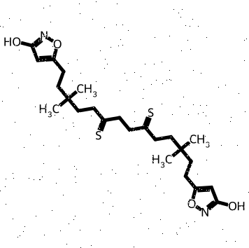 CC(C)(CCC(=S)CCC(=S)CCC(C)(C)CCc1cc(O)no1)CCc1cc(O)no1